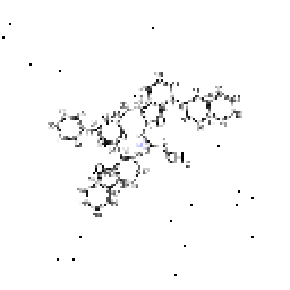 C=C/C=C\c1oc2c(-c3ccc4ccccc4c3)cccc2c1Cc1nc(-c2ccccc2)nc(-c2cccc3c2oc2ccccc23)n1